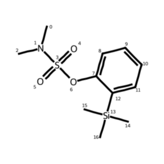 CN(C)S(=O)(=O)Oc1ccccc1[Si](C)(C)C